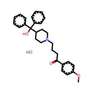 COc1ccc(C(=O)CCCN2CCC(C(O)(c3ccccc3)c3ccccc3)CC2)cc1.Cl